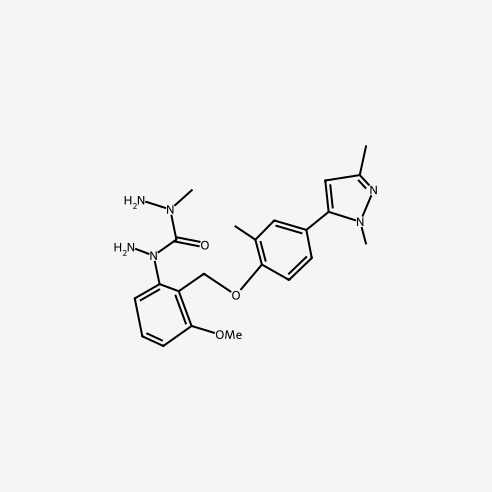 COc1cccc(N(N)C(=O)N(C)N)c1COc1ccc(-c2cc(C)nn2C)cc1C